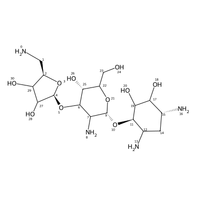 NC[C@H]1O[C@@H](OC2C(N)[C@@H](O[C@@H]3C(N)C[C@@H](N)C(O)C3O)OC(CO)[C@H]2O)C(O)C1O